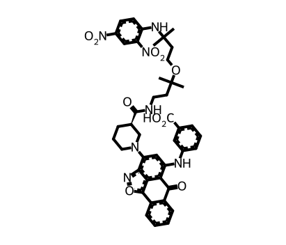 CC(C)(CCOC(C)(C)CCNC(=O)[C@@H]1CCCN(c2cc(Nc3cccc(C(=O)O)c3)c3c4c(onc24)-c2ccccc2C3=O)C1)Nc1ccc([N+](=O)[O-])cc1[N+](=O)[O-]